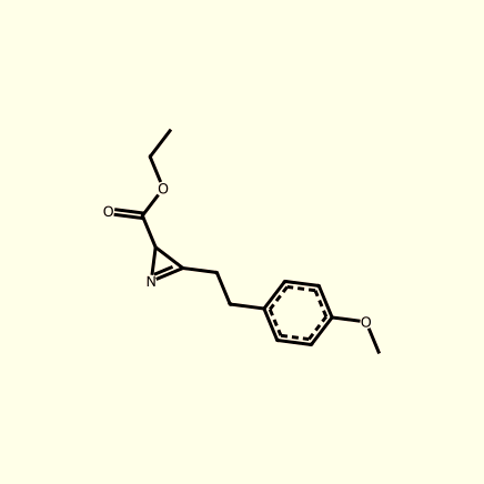 CCOC(=O)C1N=C1CCc1ccc(OC)cc1